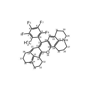 Cc1c(F)c(F)c(F)c(F)c1C1=c2cc3c4c(c2Oc2c1cc1c5c2CCCN5CCC1)CCC[N+]=4CCC3